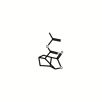 C=C(C)OC(=O)C1C2CC3C(=O)OC1C3C2